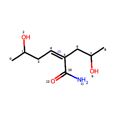 CC(O)C/C=C(/CC(C)O)C(N)=O